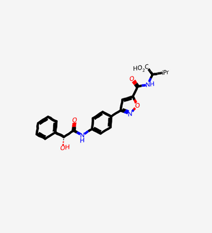 CC(C)C(NC(=O)c1cc(-c2ccc(NC(=O)[C@H](O)c3ccccc3)cc2)no1)C(=O)O